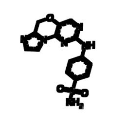 NS(=O)(=O)c1ccc(Nc2ncc3c(n2)-n2ccnc2CO3)cc1